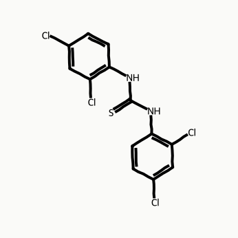 S=C(Nc1ccc(Cl)cc1Cl)Nc1ccc(Cl)cc1Cl